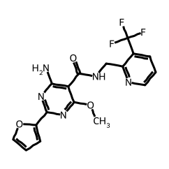 COc1nc(-c2ccco2)nc(N)c1C(=O)NCc1ncccc1C(F)(F)F